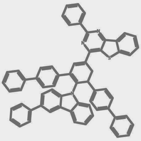 C1=C(c2nc(-c3ccccc3)nc3c2sc2ccccc23)CC(c2ccc(-c3ccccc3)cc2)C(n2c3ccccc3c3cc(-c4ccccc4)ccc32)=C1c1ccc(-c2ccccc2)cc1